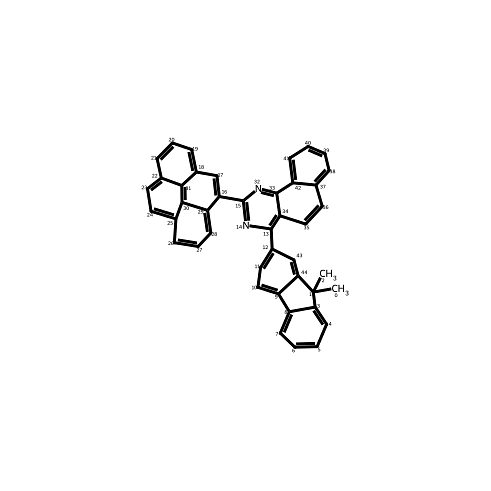 CC1(C)c2ccccc2-c2ccc(-c3nc(-c4cc5cccc6ccc7cccc4c7c65)nc4c3ccc3ccccc34)cc21